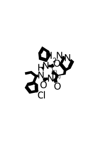 CCC(NC(=O)N1C(=O)[C@H](Cc2ccnc(N)c2)[C@H]1C(=O)N(C)c1ccccc1)c1cccc(Cl)c1